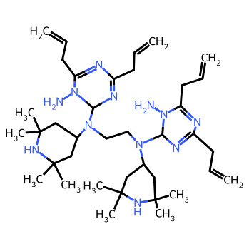 C=CCC1=NC(N(CCN(C2CC(C)(C)NC(C)(C)C2)C2N=C(CC=C)N=C(CC=C)N2N)C2CC(C)(C)NC(C)(C)C2)N(N)C(CC=C)=N1